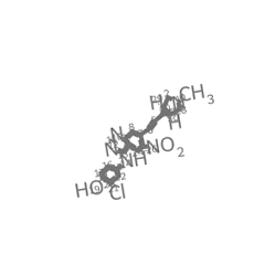 CN1C[C@@H]2C(C#Cc3cc4ncnc(Nc5ccc(O)c(Cl)c5)c4cc3[N+](=O)[O-])[C@@H]2C1